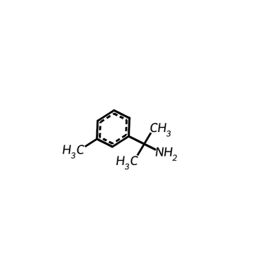 Cc1cccc(C(C)(C)N)c1